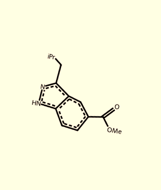 COC(=O)c1ccc2[nH]nc(CC(C)C)c2c1